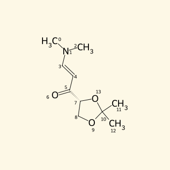 CN(C)/C=C/C(=O)[C@H]1COC(C)(C)O1